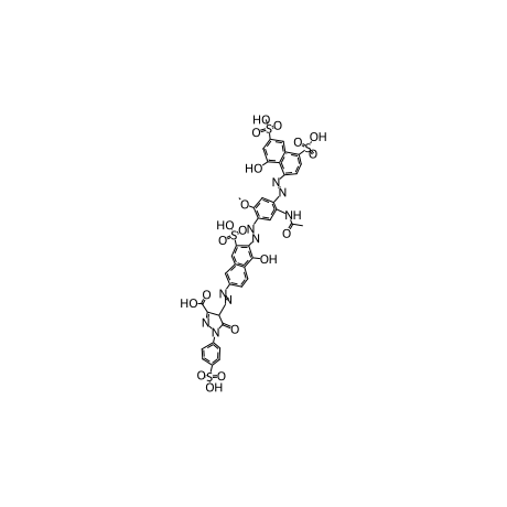 COc1cc(/N=N/c2ccc(S(=O)(=O)O)c3cc(S(=O)(=O)O)cc(O)c23)c(NC(C)=O)cc1/N=N/c1c(S(=O)(=O)O)cc2cc(/N=N/C3C(=O)N(c4ccc(S(=O)(=O)O)cc4)N=C3C(=O)O)ccc2c1O